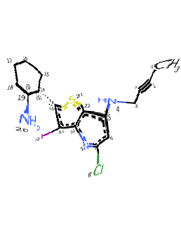 CC#CCNc1cc(Cl)nc2c(I)c([C@H]3CCCC[C@@H]3N)sc12